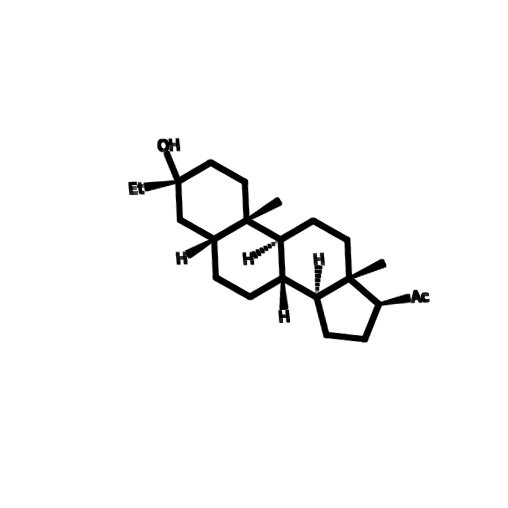 CC[C@@]1(O)CC[C@@]2(C)[C@H](CC[C@@H]3[C@@H]2CC[C@]2(C)[C@@H](C(C)=O)CC[C@@H]32)C1